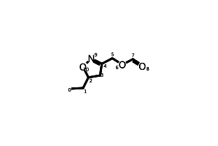 CCC1CC(COC=O)=NO1